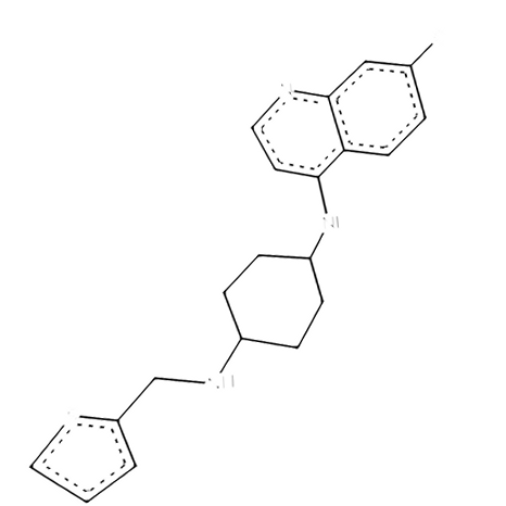 Clc1ccc2c(NC3CCC(NCc4cccs4)CC3)ccnc2c1